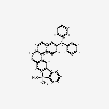 CC1(C)c2ccccc2-c2cc3c(ccc4ccc5cc(N(c6ccccc6)c6ccccc6)ccc5c43)cc21